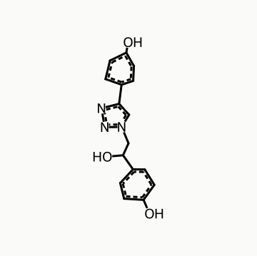 Oc1ccc(-c2cn(CC(O)c3ccc(O)cc3)nn2)cc1